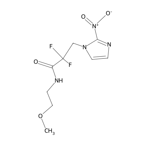 COCCNC(=O)C(F)(F)Cn1ccnc1[N+](=O)[O-]